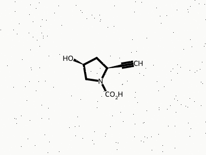 C#C[C@@H]1C[C@H](O)CN1C(=O)O